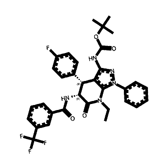 CCN1C(=O)[C@H](NC(=O)c2cccc(C(F)(F)F)c2)[C@H](c2ccc(F)cc2)c2c(NC(=O)OC(C)(C)C)nn(-c3ccccc3)c21